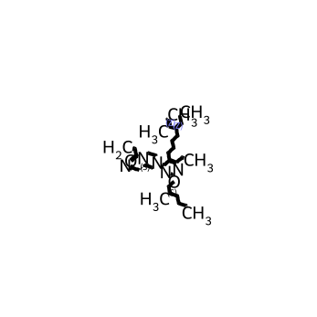 C=CC(=O)N1CCN(c2nc(OC[C@@H](C)CCCC)nc(CC)c2CCCCC(=C/CC)/C(C)=C\C)C[C@@H]1CC#N